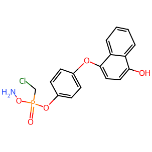 NOP(=O)(CCl)Oc1ccc(Oc2ccc(O)c3ccccc23)cc1